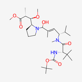 COC(=O)[C@H](C)[C@@H](OC)[C@@H]1CCCN1C(O)/C(C)=C/[C@H](C(C)C)N(C)C(=O)[C@@H](NC(=O)OC(C)(C)C)C(C)(C)C